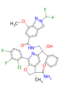 COc1cc(C(=O)NC[C@@](O)(c2ccccc2)c2cc3c(c(-c4ccc(F)c(F)c4Cl)n2)OC[C@]3(C)C(N)=O)cc2cn(C(F)F)nc12